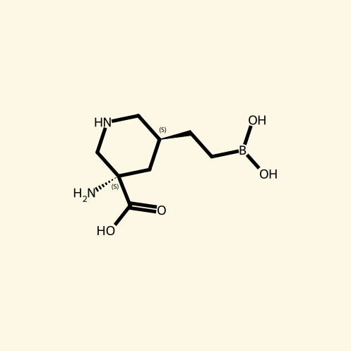 N[C@]1(C(=O)O)CNC[C@@H](CCB(O)O)C1